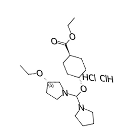 CCOC(=O)[C@H]1CC[C@H](OC(N2CCCC2)N2CC[C@H](OCC)C2)CC1.Cl.Cl